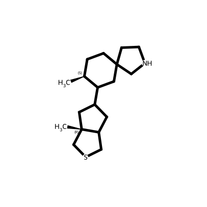 C[C@H]1CCC2(CCNC2)CC1C1CC2CSC[C@]2(C)C1